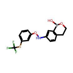 OB1OCCc2ccc(NOc3cccc(SC(F)(F)F)c3)cc21